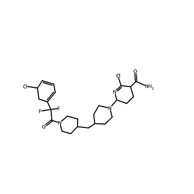 NC(=O)C1CCC(N2CCC(CC3CCN(C(=O)C(F)(F)C4=CC=CC(Cl)C4)CC3)CC2)N=C1Cl